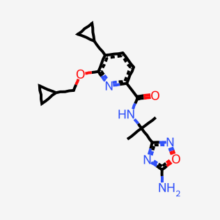 CC(C)(NC(=O)c1ccc(C2CC2)c(OCC2CC2)n1)c1noc(N)n1